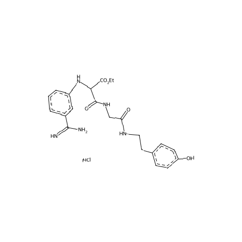 CCOC(=O)C(Nc1cccc(C(=N)N)c1)C(=O)NCC(=O)NCCc1ccc(O)cc1.Cl